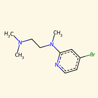 CN(C)CCN(C)c1cc(Br)ccn1